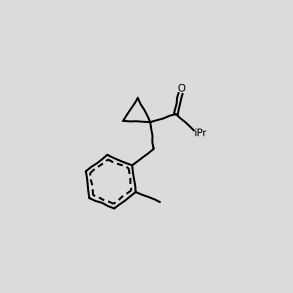 Cc1ccccc1CC1(C(=O)C(C)C)CC1